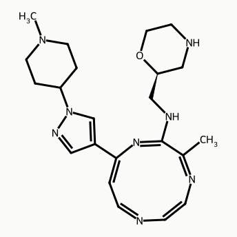 Cc1nccnccc(-c2cnn(C3CCN(C)CC3)c2)nc1NC[C@@H]1CNCCO1